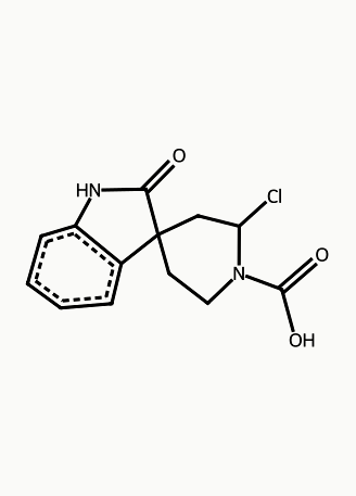 O=C(O)N1CCC2(CC1Cl)C(=O)Nc1ccccc12